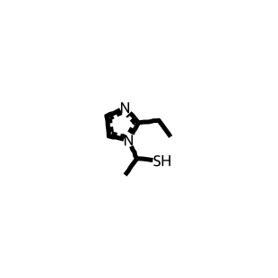 CCc1nccn1C(C)S